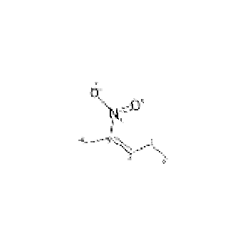 CC/C=C(/C)[N+](=O)[O-]